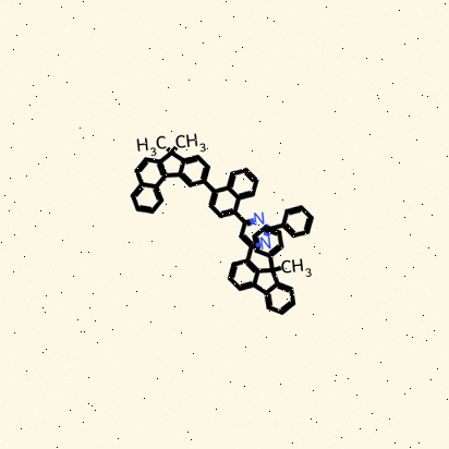 CC1(C)c2ccc(-c3ccc(-c4cc(-c5cccc6c5C(C)(c5ccccc5)c5ccccc5-6)nc(-c5ccccc5)n4)c4ccccc34)cc2-c2c1ccc1ccccc21